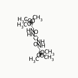 CCO[Si](CCCNC(=O)Nc1ccc(NC(=O)NCCC[Si](OCC)(OCC)OCC)cc1)(OCC)OCC